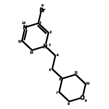 BrC1=CN(CCC2CCOCC2)CC=N1